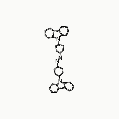 c1ccc2c(c1)c1ccccc1n2-c1ccc(N=Nc2ccc(-n3c4ccccc4c4ccccc43)cc2)cc1